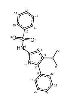 CC(C)c1sc(NS(=O)(=O)c2ccccc2)nc1-c1ccccc1